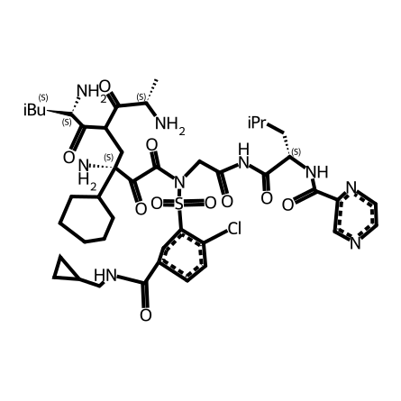 CC[C@H](C)[C@H](N)C(=O)C(C[C@@](N)(C(=O)C(=O)N(CC(=O)NC(=O)[C@H](CC(C)C)NC(=O)c1cnccn1)S(=O)(=O)c1cc(C(=O)NCC2CC2)ccc1Cl)C1CCCCC1)C(=O)[C@H](C)N